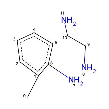 Cc1ccccc1N.NCCN